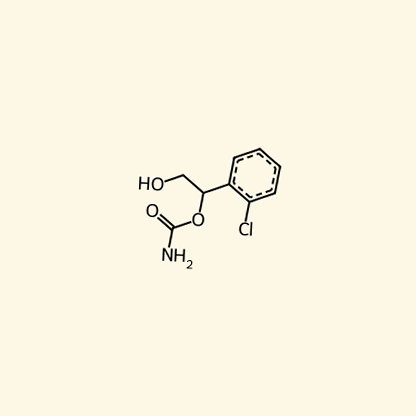 NC(=O)OC(CO)c1ccccc1Cl